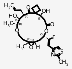 C=CC[C@H]1C(=O)C2(CCC2)[C@@H](O)CC(=O)O[C@H](C(F)=Cc2csc(C)n2)C[C@@H]2O[C@]2(C)CCO[C@H](C)[C@H]1O